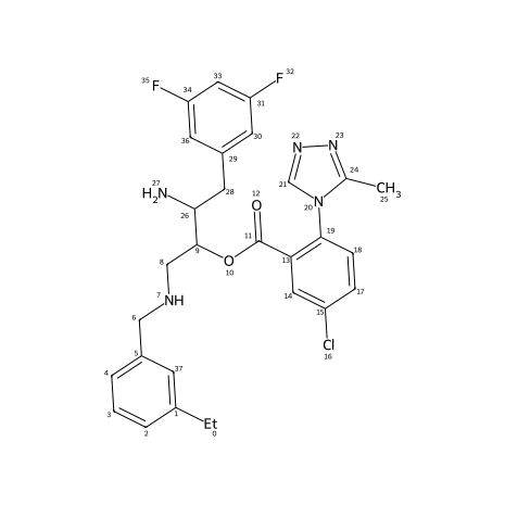 CCc1cccc(CNCC(OC(=O)c2cc(Cl)ccc2-n2cnnc2C)C(N)Cc2cc(F)cc(F)c2)c1